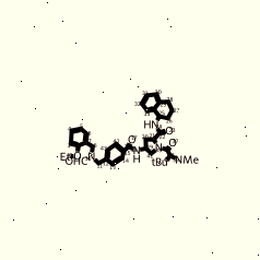 CCOc1ccccc1CN(C=O)Cc1ccc(C(=O)NC2CC(C(=O)NC3CCCc4ccccc43)N(C(=O)C(NC)C(C)(C)C)C2)cc1